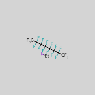 CCI.FC(F)(F)C(F)(F)C(F)(F)C(F)(F)C(F)(F)C(F)(F)C(F)(F)C(F)(F)F